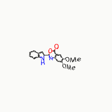 COc1cc2nc(-c3cc4ccccc4[nH]3)oc(=O)c2cc1OC